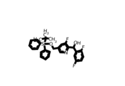 CC(C)(C)[Si](OCc1cnc(C(O)c2cc(F)ccc2F)c(F)c1)(c1ccccc1)c1ccccc1